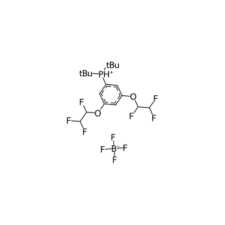 CC(C)(C)[PH+](c1cc(OC(F)C(F)F)cc(OC(F)C(F)F)c1)C(C)(C)C.F[B-](F)(F)F